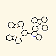 C1=C(c2cc(-c3nc4ccccc4c4c5c(ccc34)C3(c4ccccc4-c4ccccc43)c3ccccc3-5)cc(-c3cccc4c3sc3ccccc34)c2)c2sc3ccccc3c2CC1